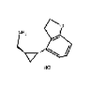 Cl.NC[C@@H]1C[C@H]1c1cccc2c1CCO2